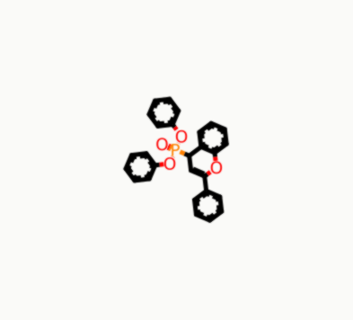 O=P(Oc1ccccc1)(Oc1ccccc1)C1C=C(c2ccccc2)Oc2ccccc21